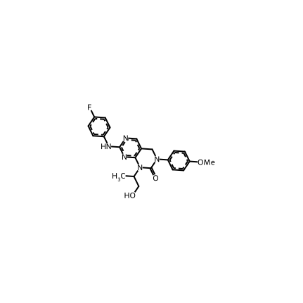 COc1ccc(N2Cc3cnc(Nc4ccc(F)cc4)nc3N(C(C)CO)C2=O)cc1